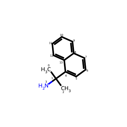 CC(C)(N)c1cccc2cc[c]cc12